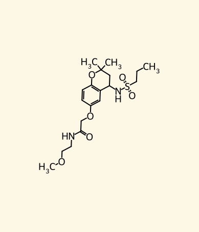 CCCS(=O)(=O)NC1CC(C)(C)Oc2ccc(OCC(=O)NCCOC)cc21